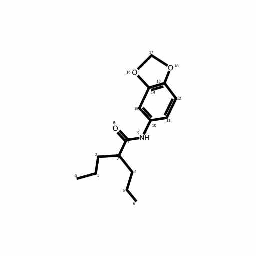 CCCC(CCC)C(=O)Nc1ccc2c(c1)OCO2